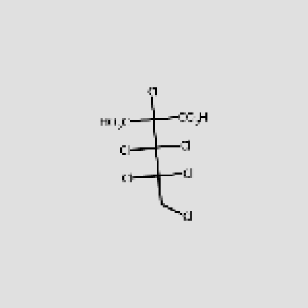 O=C(O)C(Cl)(C(=O)O)C(Cl)(Cl)C(Cl)(Cl)CCl